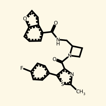 Cc1nc(C(=O)N2CCC2CNC(=O)c2cccc3occc23)c(-c2ccc(F)cc2)s1